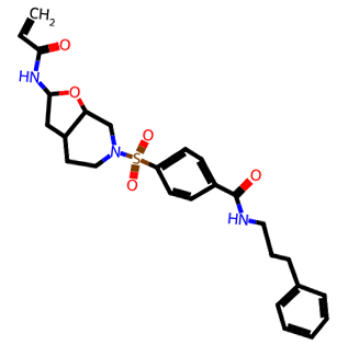 C=CC(=O)NC1CC2CCN(S(=O)(=O)c3ccc(C(=O)NCCCc4ccccc4)cc3)CC2O1